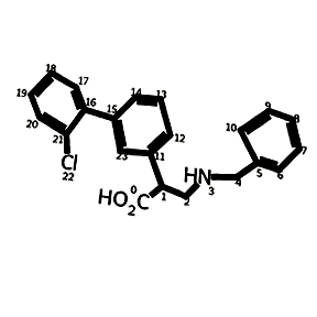 O=C(O)C(CNCc1ccccc1)c1cccc(-c2ccccc2Cl)c1